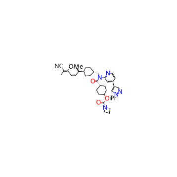 C=C(/C=C\C(OC)=C(/C)C#N)[C@H]1CC[C@H](CN(c2cc(-c3cnn(C(C)C)c3)ccn2)C(=O)[C@H]2CC[C@H](OC(=O)N3CCC3)CC2)CC1